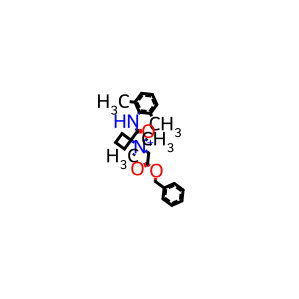 Cc1cccc(C)c1NC(=O)C1([N+](C)(C)CC(=O)OCc2ccccc2)CCC1